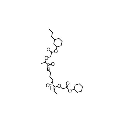 CCCC1CCCC(OC(=O)COC(C)[PH](=O)CCCC[PH](=O)C(CC)OCC(=O)OC2CCCCC2)C1